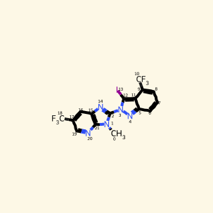 Cn1c(-n2nc3cccc(C(F)(F)F)c3c2I)nc2cc(C(F)(F)F)cnc21